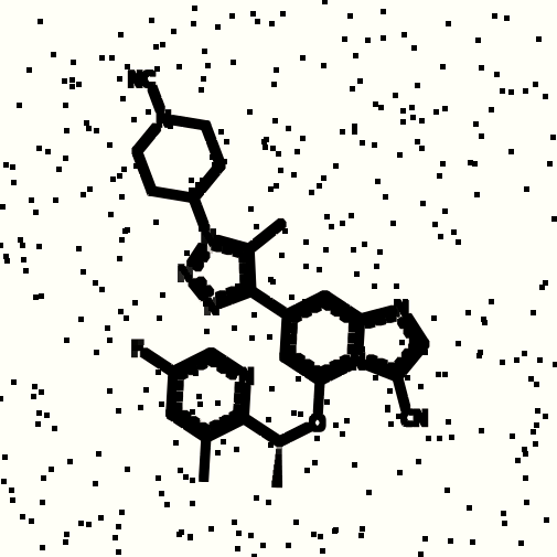 Cc1cc(F)cnc1[C@@H](C)Oc1cc(-c2nnn(C3CCN(C#N)CC3)c2C)cc2ncc(C#N)n12